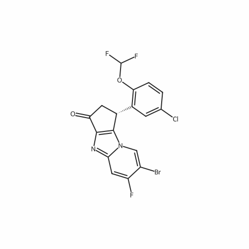 O=C1C[C@H](c2cc(Cl)ccc2OC(F)F)c2c1nc1cc(F)c(Br)cn21